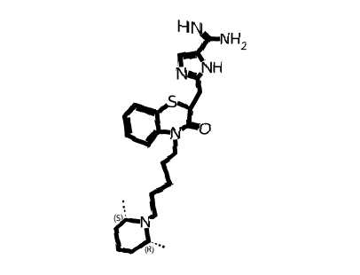 C[C@@H]1CCC[C@H](C)N1CCCCCN1C(=O)C(Cc2ncc(C(=N)N)[nH]2)Sc2ccccc21